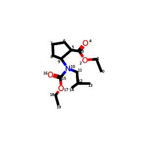 CCOC(=O)C1CCCC1N(CC(C)C)C(=O)OCC